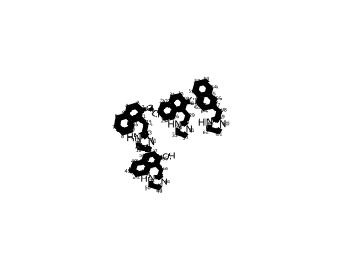 COc1ccc2ccccc2c1CC1=NCCN1.Cc1ccc2ccccc2c1CC1=NCCN1.Oc1ccc2ccccc2c1CC1=NCCN1.c1ccc2cc(CC3=NCCN3)ccc2c1